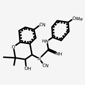 COc1ccc(NC(=N)N(C#N)C2c3cc(C#N)ccc3OC(C)(C)C2O)cc1